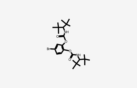 CC(C)(C)C(NC(=O)Oc1ccc(Br)cc1OC(=O)NC(C(C)(C)C)C(C)(C)C)C(C)(C)C